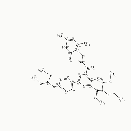 CCCC(CCC)N(CC)c1cc(-c2ccc(CN(CC)CC)cc2)cc(C(=O)NCc2c(C)cc(C)[nH]c2=O)c1C